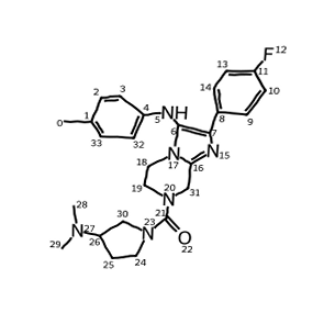 Cc1ccc(Nc2c(-c3ccc(F)cc3)nc3n2CCN(C(=O)N2CCC(N(C)C)C2)C3)cc1